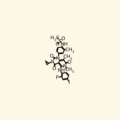 Cc1cc(-n2c(=O)n(C3CC3)c(=O)c3c(Nc4ccc(I)cc4F)n(C)c(=O)c(C)c32)ccc1NS(C)(=O)=O